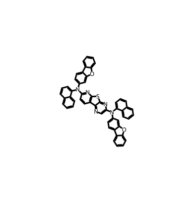 c1ccc2c(N(c3ccc4c(c3)oc3ccccc34)c3ccc4c(n3)sc3nc(N(c5ccc6c(c5)oc5ccccc56)c5cccc6ccccc56)cnc34)cccc2c1